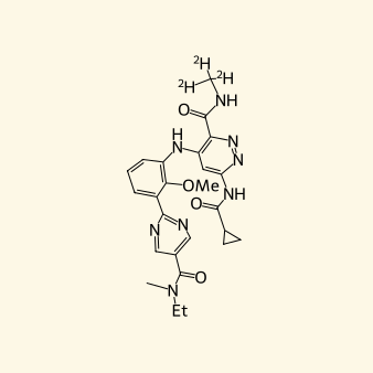 [2H]C([2H])([2H])NC(=O)c1nnc(NC(=O)C2CC2)cc1Nc1cccc(-c2ncc(C(=O)N(C)CC)cn2)c1OC